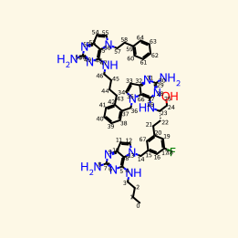 CCCCNc1nc(N)nc2ccn(Cc3cc(F)cc(CC[C@@H](CO)Nc4nc(N)nc5ccn(Cc6ccccc6CCCCNc6nc(N)nc7ccn(CCc8ccccc8)c67)c45)c3)c12